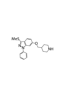 CSc1nn(-c2ccccc2)c2cc(OCC3CCNCC3)ccc12